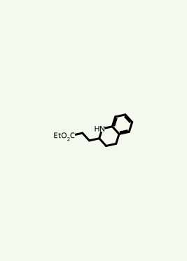 CCOC(=O)CCC1CCc2ccccc2N1